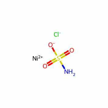 NS(=O)(=O)[O-].[Cl-].[Ni+2]